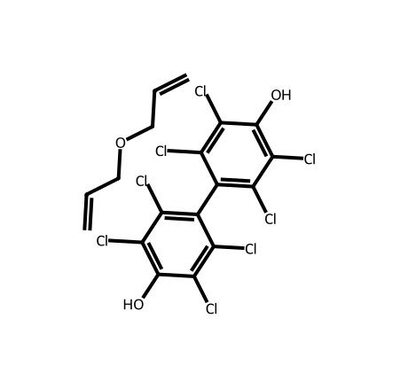 C=CCOCC=C.Oc1c(Cl)c(Cl)c(-c2c(Cl)c(Cl)c(O)c(Cl)c2Cl)c(Cl)c1Cl